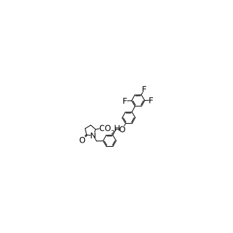 O=C(O)C1CCC(=O)N1Cc1cccc(COc2ccc(-c3cc(F)c(F)cc3F)cc2)c1